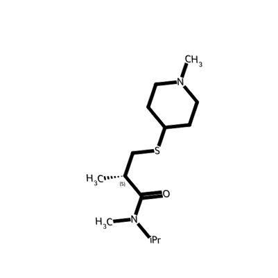 CC(C)N(C)C(=O)[C@H](C)CSC1CCN(C)CC1